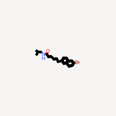 CC(C)CNC(=O)/C=C/C=C/Cc1ccc2cc(Br)ccc2c1